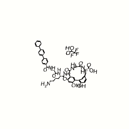 C[C@@H]1NC(=O)[C@@H](N(C)C(=O)C(CCCCN)NC(=O)CCNC(=O)c2ccc(-c3ccc(-c4ccccc4)cc3)cc2)c2ccc(O)c(c2)-c2cc(ccc2O)C[C@@H](C(=O)O)NC1=O.O=C(O)C(F)(F)F